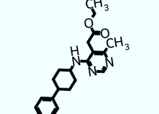 CCOC(=O)Cc1c(C)ncnc1NC1CCC(c2ccccc2)CC1